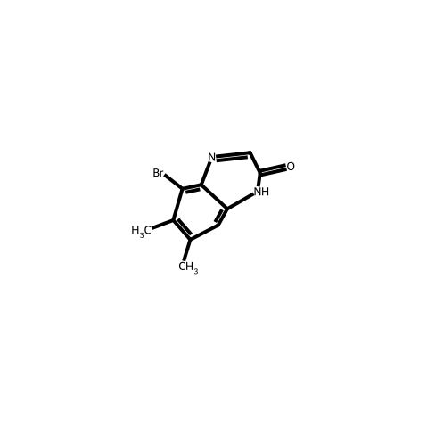 Cc1cc2[nH]c(=O)cnc2c(Br)c1C